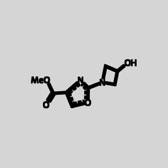 COC(=O)c1coc(N2CC(O)C2)n1